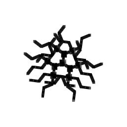 CCC[Si](CCC)(CCC)[N]([Bi]([N]([Si](CCC)(CCC)CCC)[Si](CCC)(CCC)CCC)[N]([Si](CCC)(CCC)CCC)[Si](CCC)(CCC)CCC)[Si](CCC)(CCC)CCC